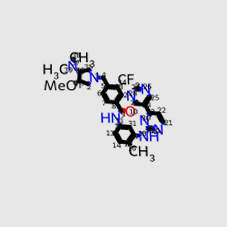 CO[C@@H]1CN(Cc2ccc(C(=O)Nc3ccc(C)c(Nc4nccc(-c5cncnc5)n4)c3)cc2C(F)(F)F)C[C@H]1N(C)C